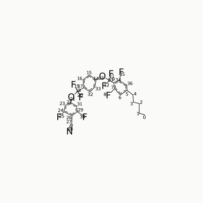 CCCCCc1cc(F)c(C(F)(F)Oc2ccc(C(F)(F)Oc3cc(F)c(C#N)c(F)c3)cc2)c(F)c1